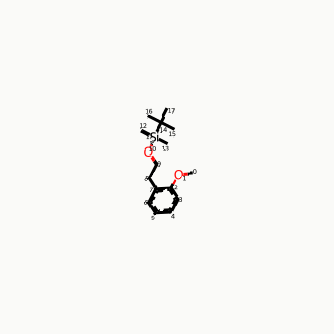 COc1ccccc1CCO[Si](C)(C)C(C)(C)C